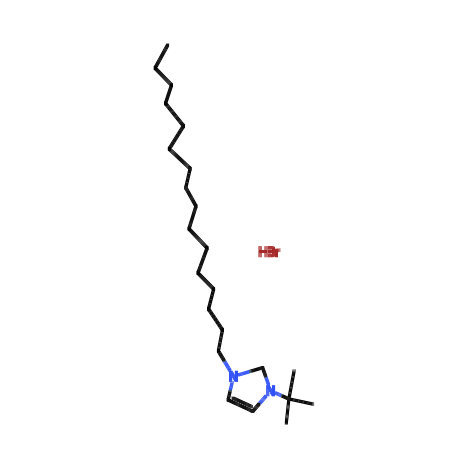 Br.CCCCCCCCCCCCCCCCN1C=CN(C(C)(C)C)C1